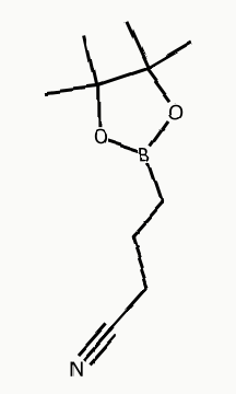 CC1(C)OB(CCCC#N)OC1(C)C